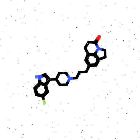 O=C1CCc2cc(CCCN3CCC(c4c[nH]c5ccc(F)cc45)CC3)cc3c2N1CC3